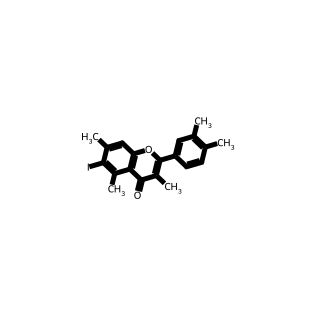 Cc1ccc(-c2oc3cc(C)c(I)c(C)c3c(=O)c2C)cc1C